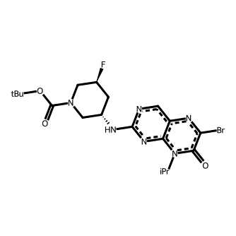 CC(C)n1c(=O)c(Br)nc2cnc(N[C@H]3C[C@H](F)CN(C(=O)OC(C)(C)C)C3)nc21